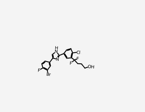 OCCCC(F)(F)c1cc(-c2nc(-c3ccc(F)c(Br)c3)c[nH]2)ccc1Cl